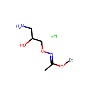 CCOC(C)=NOCC(O)CN.Cl